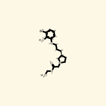 CCOC(=O)CN1CC[C@H](CCCOc2cccc(Br)c2C)C1